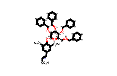 COc1cc(/C=C/C(=O)O)cc(OC)c1O[C@H]1O[C@H](COCc2ccccc2)[C@@H](OCc2ccccc2)[C@H](OCc2ccccc2)[C@@H]1OCc1ccccc1